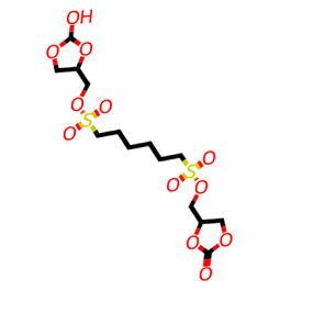 O=C1OCC(COS(=O)(=O)CCCCCCS(=O)(=O)OCC2COC(O)O2)O1